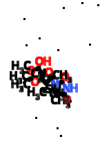 COC(O)[C@H]1O[C@@](C)(n2cc(C)c(=O)[nH]c2=O)C([SiH](C)C)[C@@H]1OC(C)(C)C